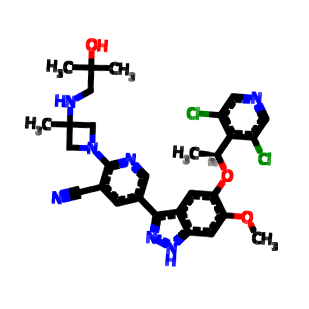 COc1cc2[nH]nc(-c3cnc(N4CC(C)(NCC(C)(C)O)C4)c(C#N)c3)c2cc1O[C@@H](C)c1c(Cl)cncc1Cl